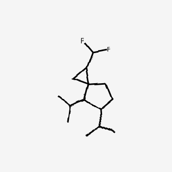 CC(C)C1CCC2(CC2C(F)F)C1C(C)C